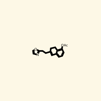 CC(=O)Oc1cccc2c1CCC(CCc1ncco1)=C2